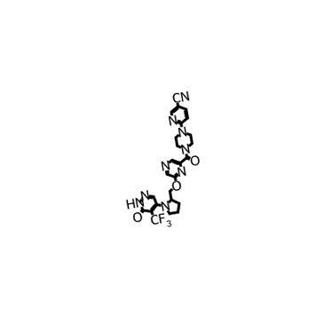 N#Cc1ccc(N2CCN(C(=O)c3cncc(OCC4CCCN4c4cn[nH]c(=O)c4C(F)(F)F)n3)CC2)nc1